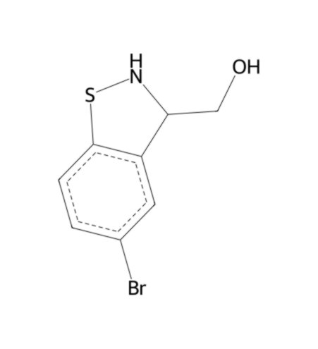 OCC1NSc2ccc(Br)cc21